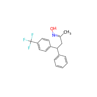 CC(CC(c1ccccc1)c1ccc(C(F)(F)F)cc1)=NO